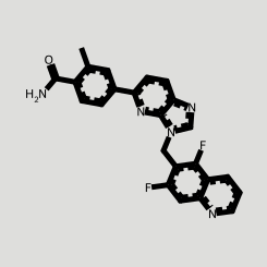 Cc1cc(-c2ccc3ncn(Cc4c(F)cc5ncccc5c4F)c3n2)ccc1C(N)=O